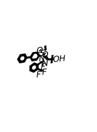 CCS(=O)(=O)C1(n2cc(C(C)(C)O)nc2-c2ccccc2C(F)(F)F)C=CC(c2ccccc2)=CC1